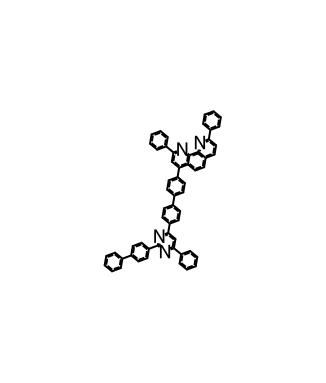 c1ccc(-c2ccc(-c3nc(-c4ccccc4)cc(-c4ccc(-c5ccc(-c6cc(-c7ccccc7)nc7c6ccc6ccc(-c8ccccc8)nc67)cc5)cc4)n3)cc2)cc1